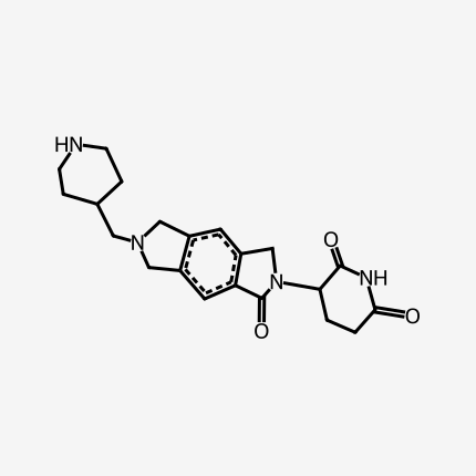 O=C1CCC(N2Cc3cc4c(cc3C2=O)CN(CC2CCNCC2)C4)C(=O)N1